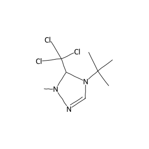 CN1N=CN(C(C)(C)C)C1C(Cl)(Cl)Cl